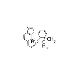 C1=Nc2ccc3ccccc3c2C1.CC1C=CC=CC1(C)C